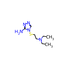 CCN(CC)CCSn1cnnc1N